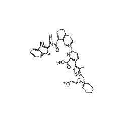 COCCOC1(Cn2ncc(-c3ccc(N4CCc5cccc(C(=O)Nc6nc7ccccc7s6)c5C4)nc3C(=O)O)c2C)CCCCC1